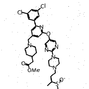 COC(=O)CC1CCN(Cc2cc(Oc3cnc(N4CCN(CCC(C)[S+](C)[O-])CC4)nc3)nc(-c3cc(Cl)cc(Cl)c3)c2)CC1